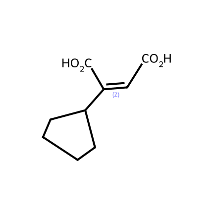 O=C(O)/C=C(\C(=O)O)C1CCCC1